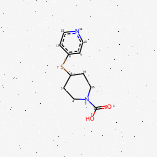 O=C(O)N1CCC(Sc2ccncc2)CC1